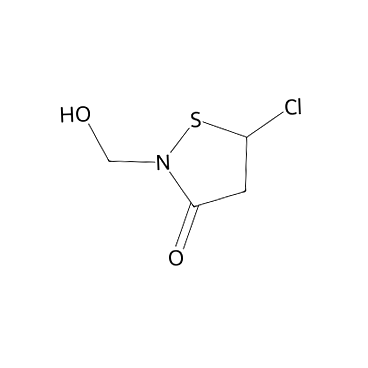 O=C1CC(Cl)SN1CO